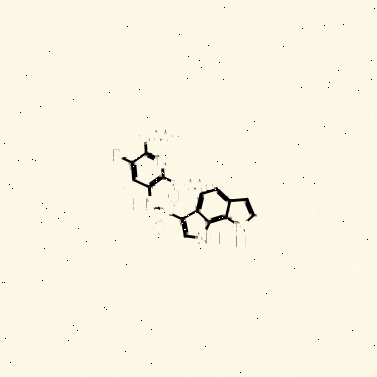 COc1nc(OC)c(NS(=O)(=O)c2c[nH]c3c2ccc2cc[nH]c23)cc1F